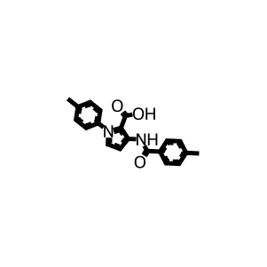 Cc1ccc(C(=O)Nc2ccn(-c3ccc(C)cc3)c2C(=O)O)cc1